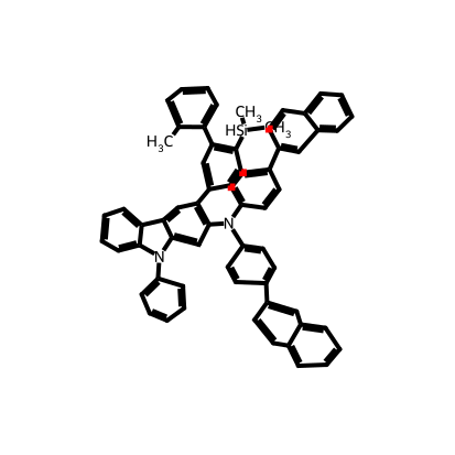 Cc1ccccc1-c1cc(-c2cc3c4ccccc4n(-c4ccccc4)c3cc2N(c2ccc(-c3ccc4ccccc4c3)cc2)c2ccc(-c3ccc4ccccc4c3)cc2)ccc1[SiH](C)C